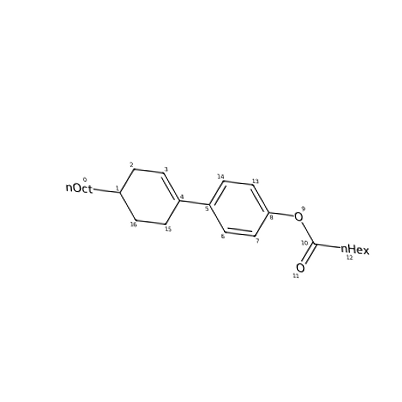 CCCCCCCCC1CC=C(c2ccc(OC(=O)CCCCCC)cc2)CC1